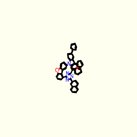 c1ccc(-c2ccc3c(c2)c2cc4ccccc4cc2n3-c2ccc3oc4cccc(-c5nc(-c6ccc7ccccc7c6)nc(-c6ccc7ccccc7c6)n5)c4c3c2)cc1